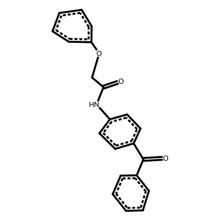 O=C(COc1ccccc1)Nc1ccc(C(=O)c2ccccc2)cc1